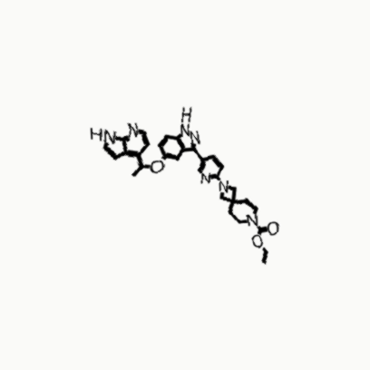 CCOC(=O)N1CCC2(CC1)CN(c1ccc(-c3n[nH]c4ccc(OC(C)c5ccnc6[nH]ccc56)cc34)cn1)C2